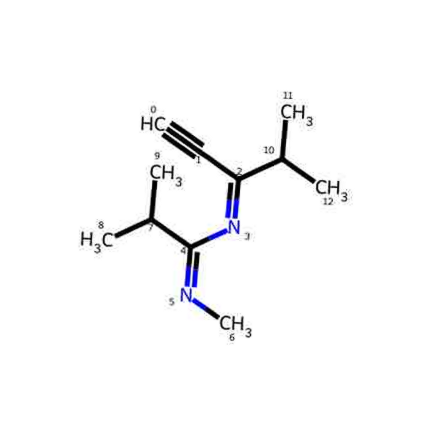 C#C/C(=N\C(=N/C)C(C)C)C(C)C